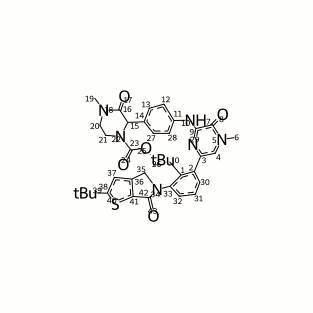 Cc1c(-c2cn(C)c(=O)c(Nc3ccc(C4C(=O)N(C)CCN4C(=O)OC(C)(C)C)cc3)n2)cccc1N1Cc2cc(C(C)(C)C)sc2C1=O